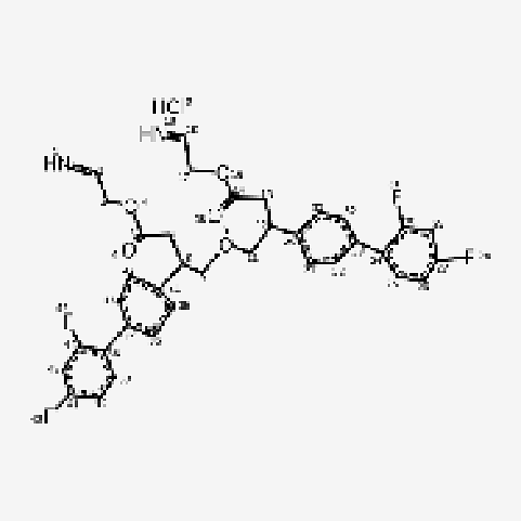 Cl.N=CCOC(=O)CC(COCC(CC(=O)OCC=N)c1ccc(-c2ccc(F)cc2F)cc1)c1ccc(-c2ccc(F)cc2F)cc1